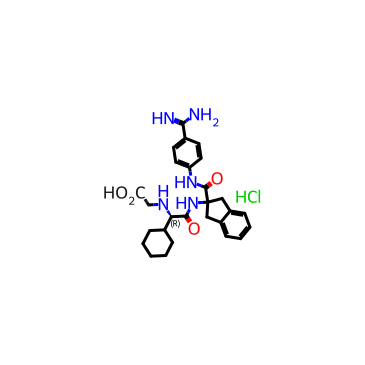 Cl.N=C(N)c1ccc(NC(=O)C2(NC(=O)[C@H](NCC(=O)O)C3CCCCC3)Cc3ccccc3C2)cc1